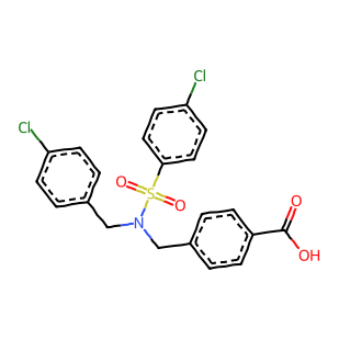 O=C(O)c1ccc(CN(Cc2ccc(Cl)cc2)S(=O)(=O)c2ccc(Cl)cc2)cc1